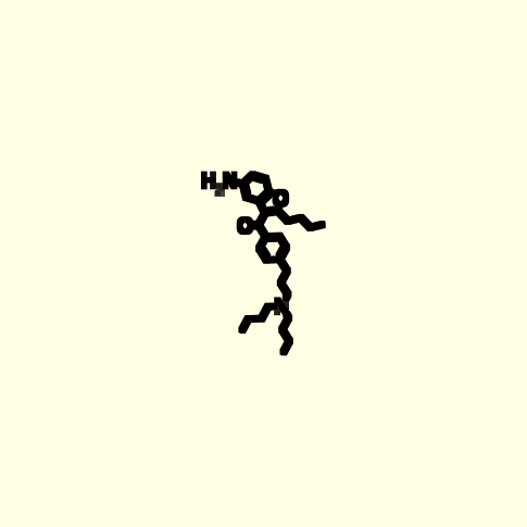 CCCCc1oc2ccc(N)cc2c1C(=O)c1ccc(CCCN(CCCC)CCCC)cc1